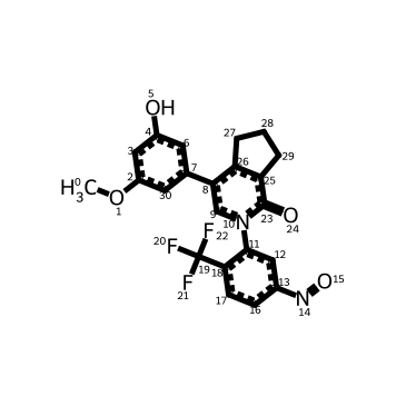 COc1cc(O)cc(-c2cn(-c3cc(N=O)ccc3C(F)(F)F)c(=O)c3c2CCC3)c1